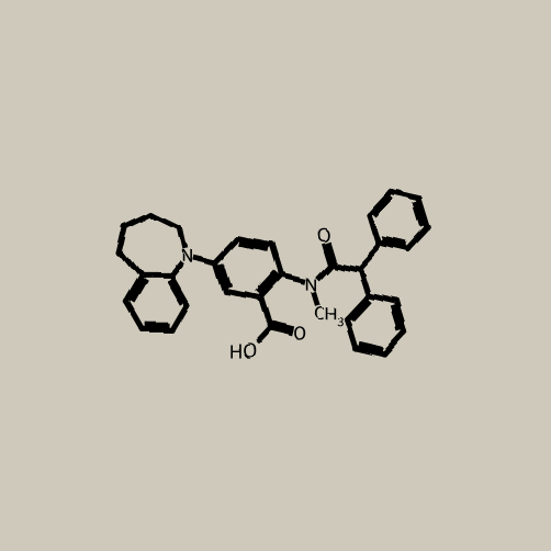 CN(C(=O)C(c1ccccc1)c1ccccc1)c1ccc(N2CCCCc3ccccc32)cc1C(=O)O